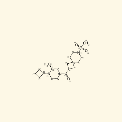 C[C@H]1CN(C(=O)C2CC3(CCN(S(C)(=O)=O)CC3)C2)CCN1C1CCC1